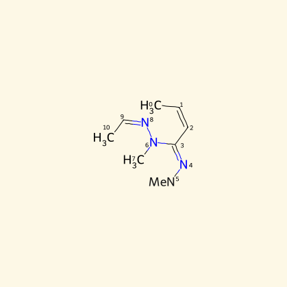 C/C=C\C(=N\NC)N(C)/N=C\C